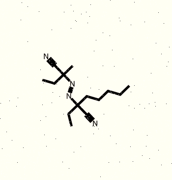 CCCCCC(C#N)(CC)/N=N/C(C)(C#N)CC